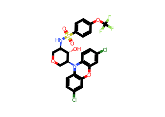 O=S(=O)(N[C@@H]1COC[C@H](N2c3ccc(Cl)cc3Oc3cc(Cl)ccc32)[C@H]1O)c1ccc(OC(F)(F)F)cc1